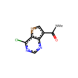 CNC(=O)c1csc2c(Cl)ncnc12